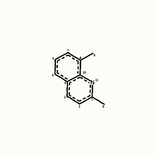 Cc1c[c]c2cccc(C)c2n1